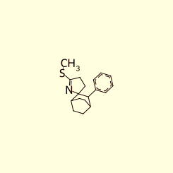 CSC1=NC2(CC1)C1CCC(CC1)C2c1ccccc1